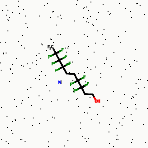 OCCC(F)(F)C(F)(F)CCC(F)(F)C(F)(F)C(F)(F)C(F)(F)F.[N]